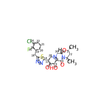 C[C@@H]1C[C@@H](C)N2C(=O)c3c(O)c(=O)c(-c4nnc(Cc5cccc(Cl)c5F)s4)cn3C[C@@H]2O1